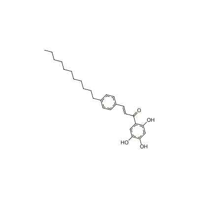 CCCCCCCCCCCc1ccc(C=CC(=O)c2cc(O)c(O)cc2O)cc1